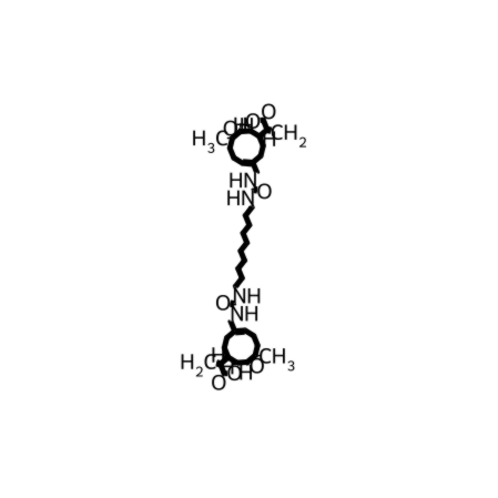 C=C1C(=O)O[C@H]2[C@H]1CC/C(CNC(=O)NCCCCCCCCCCNC(=O)NC/C1=C/CC[C@@]3(C)O[C@H]3[C@H]3OC(=O)C(=C)[C@@H]3CC1)=C\CC[C@@]1(C)O[C@@H]21